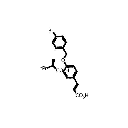 C=C(CCC)C(=O)O.O=C(O)C=Cc1ccc(OCc2ccc(Br)cc2)cc1